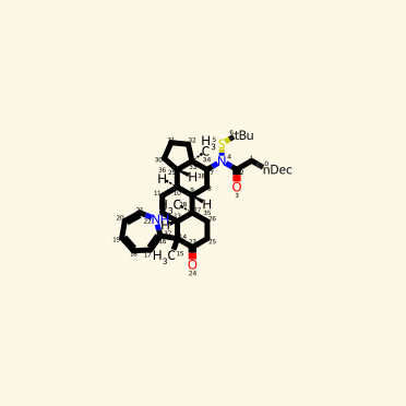 CCCCCCCCCCCC(=O)N(SC(C)(C)C)C1C[C@H]2[C@@H](CC[C@H]3C(C)(C4=CC=CC=CN4)C(=O)CC[C@]23C)[C@@H]2CCC[C@@]12C